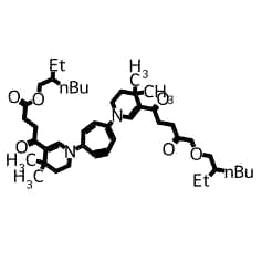 CCCCC(CC)COCC(=O)CCC(=O)C1=CN(C2=CC#CC(N3C=C(C(=O)CCC(=O)OCC(CC)CCCC)C(C)(C)CC3)C=C2)CCC1(C)C